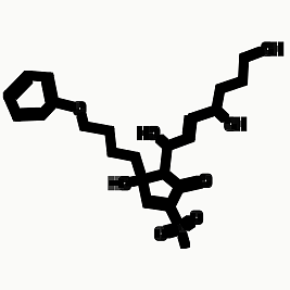 CS(=O)(=O)C1=CC(O)(CCCCOc2ccccc2)C(C(O)C=CC(O)CCCO)C1=O